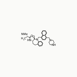 CN[C@@H](C)C(=O)N[C@H]1CCc2ccccc2N(Cc2ccc(CN3CCNCC3)c3ccccc23)C1=O